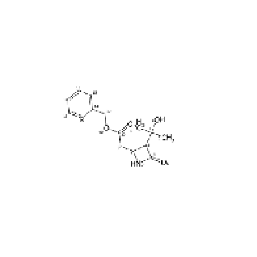 CC(C)(O)C1C(=O)NC1CC(=O)OCc1ccccc1